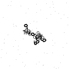 CC(C)CC(NC(=O)Oc1ccc(C[C@H]2C(=O)N(Cc3cccc4cccnc34)CC3N2C(=O)CN(C)N3C(=O)NCc2ccccc2)cc1)C(=O)OCc1ccccc1